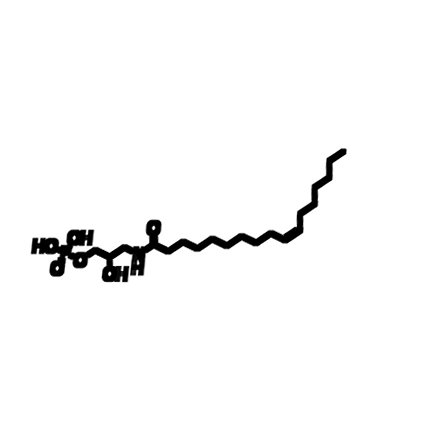 CCCCCC/C=C\CCCCCCCCC(=O)NCC(O)COP(=O)(O)O